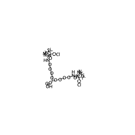 Cc1sc2c(c1C)C(c1ccc(Cl)cc1)=N[C@@H](CC(=O)NCCOCCOCCOCCOCC(C)(COCCOCCOCCOCCNC(=O)C[C@@H]1N=C(c3ccc(Cl)cc3)c3c(sc(C)c3C)-n3c(C)nnc31)COCC(=O)O)c1nnc(C)n1-2